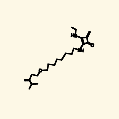 C=C1C(=O)C(NCCCCCCCCOCCC(=C)C(C)C)=C1NCC